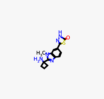 Cn1c(C2(N)CCC2)nc2ccc(-c3n[nH]c(=O)s3)cc21